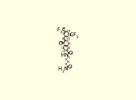 NC(=O)CCCCNC(=O)c1ccc2c(c1)CC/C(=C\c1cc(C(F)(F)F)cc(C(F)(F)F)c1)C2=O